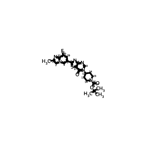 Cc1cn2cc(-c3nc4ncn(C5CCN(C(=O)OC(C)(C)C)CC5)c(=O)c4s3)cc(F)c2n1